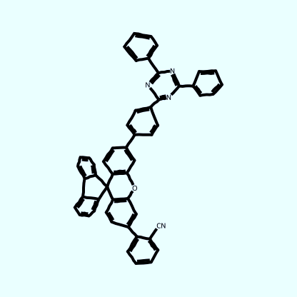 N#Cc1ccccc1-c1ccc2c(c1)Oc1cc(-c3ccc(-c4nc(-c5ccccc5)nc(-c5ccccc5)n4)cc3)ccc1C21c2ccccc2-c2ccccc21